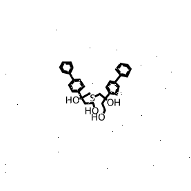 OCCC(O)(CSCC(O)(CCO)c1ccc(-c2ccccc2)cc1)c1ccc(-c2ccccc2)cc1